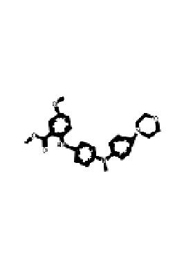 COC(=O)c1cc(OC)ccc1Nc1ccc(N(C)c2ccc(N3CCOCC3)cc2)cc1